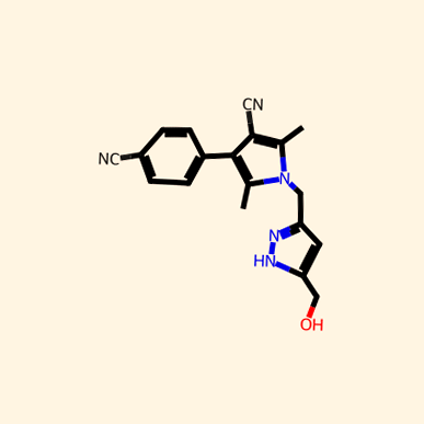 Cc1c(C#N)c(-c2ccc(C#N)cc2)c(C)n1Cc1cc(CO)[nH]n1